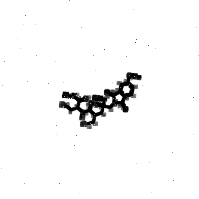 CNC(=O)[C@H](CC(C)C)NC(=O)[C@H](CC(C)C)CP(=O)(CN1C(=O)c2ccc(OC)cc2C1=O)OC